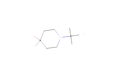 CCC(C)(C)N1CCC(O)(C(F)(F)F)CC1